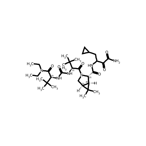 CCN(CC)C(=O)[C@@H](NC(=O)N[C@H](C(=O)N1C[C@H]2[C@@H]([C@H]1C(=O)NC(CC1CC1)C(=O)C(N)=O)C2(C)C)C(C)(C)C)C(C)(C)C